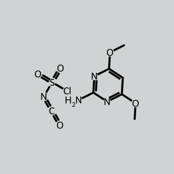 COc1cc(OC)nc(N)n1.O=C=NS(=O)(=O)Cl